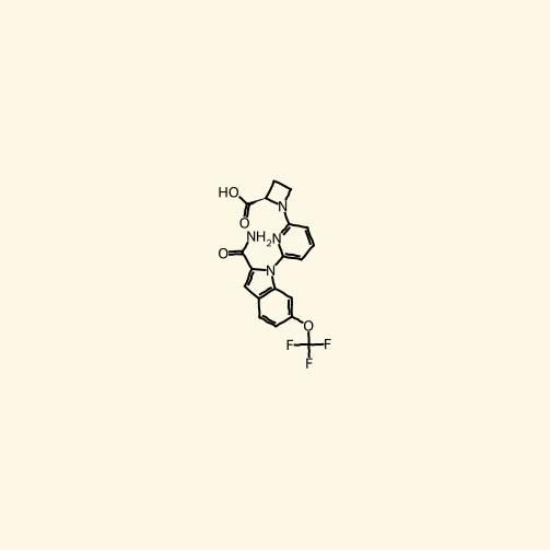 NC(=O)c1cc2ccc(OC(F)(F)F)cc2n1-c1cccc(N2CC[C@@H]2C(=O)O)n1